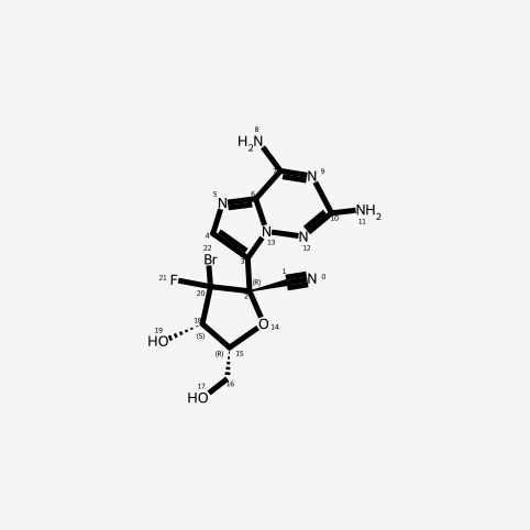 N#C[C@@]1(c2cnc3c(N)nc(N)nn23)O[C@H](CO)[C@H](O)C1(F)Br